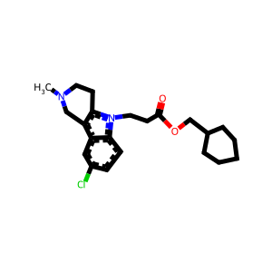 CN1CCc2c(c3cc(Cl)ccc3n2CCC(=O)OCC2CCCCC2)C1